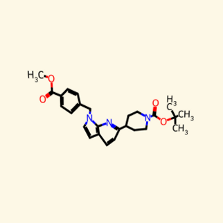 COC(=O)c1ccc(Cn2ccc3ccc(C4CCN(C(=O)OC(C)(C)C)CC4)nc32)cc1